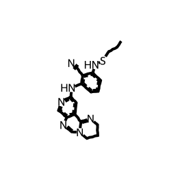 CCCSNc1cccc(Nc2cc3c(cn2)N=CN2CCCN=C32)c1C#N